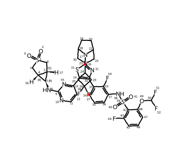 O=S1(=O)C[C@@H]2[C@H](C1)[C@H]2Nc1nccc(-c2sc(N3C4CCC3CN(C3CC(F)(F)C3)C4)nc2-c2cccc(NS(=O)(=O)c3c(F)cccc3OC(F)F)c2F)n1